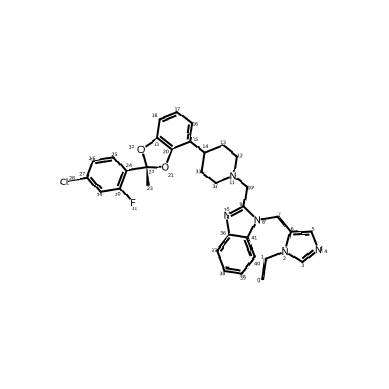 CCn1cncc1Cn1c(CN2CCC(c3cccc4c3O[C@](C)(c3ccc(Cl)cc3F)O4)CC2)nc2ccccc21